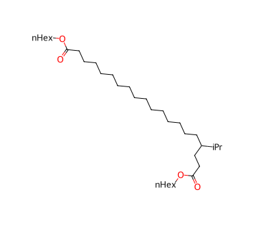 CCCCCCOC(=O)CCCCCCCCCCCCCCCC(CCC(=O)OCCCCCC)C(C)C